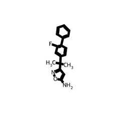 CC(C)(c1ccc(-c2ccccc2)c(F)c1)c1cc(N)on1